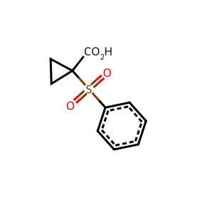 O=C(O)C1(S(=O)(=O)c2ccccc2)CC1